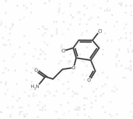 NC(=O)CCOc1c(Cl)cc(Cl)cc1C=O